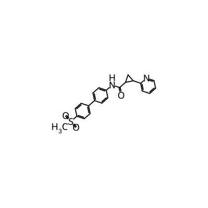 CS(=O)(=O)c1ccc(-c2ccc(NC(=O)C3CC3c3ccccn3)cc2)cc1